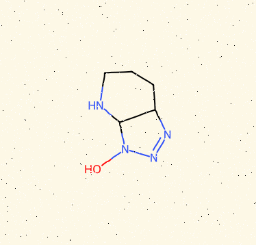 ON1N=NC2CCCNC21